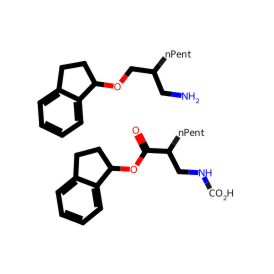 CCCCCC(CN)COC1CCc2ccccc21.CCCCCC(CNC(=O)O)C(=O)OC1CCc2ccccc21